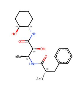 CCCC[C@H](NC(=O)[C@H](Cc1ccccc1)OC(C)=O)[C@H](O)C(=O)N[C@H]1CCCC[C@@H]1O